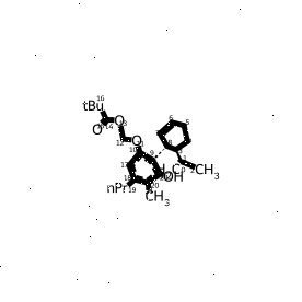 C=C(C)[C@@H]1CCC=C[C@H]1c1c(OCOC(=O)C(C)(C)C)cc(CCC)c(C)c1O